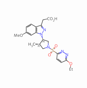 CCOc1ccc(S(=O)(=O)N2C[C@@H](C)[C@@H](n3nc(CC(=O)O)c4ccc(OC)cc43)C2)nn1